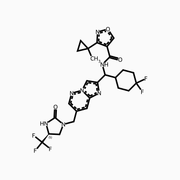 CC1(c2nocc2C(=O)NC(c2cn3ncc(CN4C[C@@H](C(F)(F)F)NC4=O)cc3n2)C2CCC(F)(F)CC2)CC1